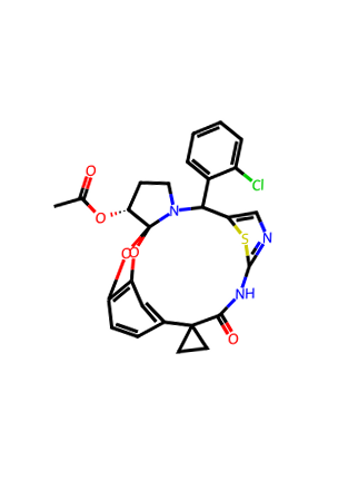 CC(=O)O[C@@H]1CCN2C(c3ccccc3Cl)c3cnc(s3)NC(=O)C3(CC3)c3ccc4c(c3)OC12O4